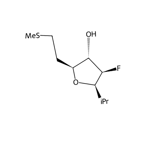 CSCC[C@@H]1O[C@H](C(C)C)[C@H](F)[C@H]1O